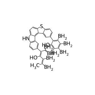 B=C(B)/C(=C(O)\C(B)=C(\B)C)c1ccc2[nH]c3ccc4sc5ccc(-c6c(B)c(B)c(B)c(B)c6O)cc5c4c3c2c1